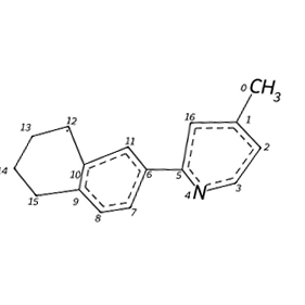 Cc1ccnc(-c2ccc3c(c2)[CH]CCC3)c1